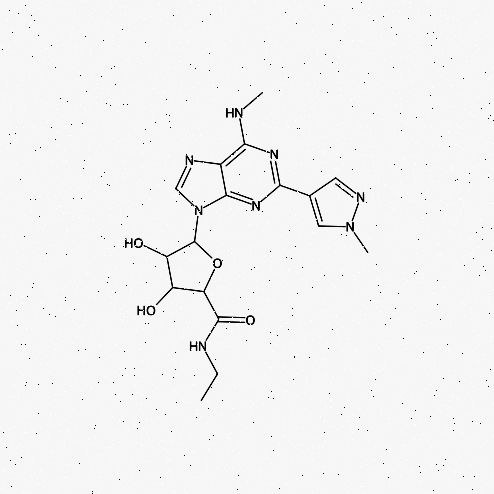 CCNC(=O)C1OC(n2cnc3c(NC)nc(-c4cnn(C)c4)nc32)C(O)C1O